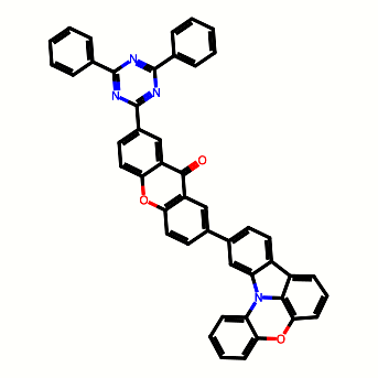 O=c1c2cc(-c3ccc4c5cccc6c5n(c4c3)-c3ccccc3O6)ccc2oc2ccc(-c3nc(-c4ccccc4)nc(-c4ccccc4)n3)cc12